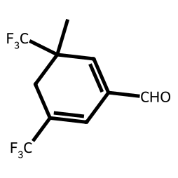 CC1(C(F)(F)F)C=C(C=O)C=C(C(F)(F)F)C1